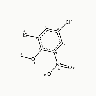 COc1c(S)cc(Cl)cc1[N+](=O)[O-]